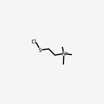 C[N+](C)(C)CCSCl